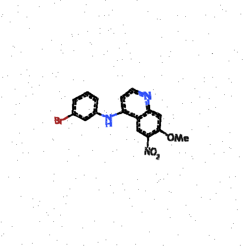 COc1cc2nccc(Nc3cccc(Br)c3)c2cc1[N+](=O)[O-]